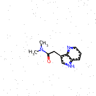 CN(C)C(=O)Cc1c[nH]c2cccnc12